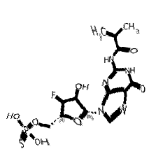 CC(C)C(=O)Nc1nc2c(ncn2[C@@H]2O[C@H](COP(O)(O)=S)C(F)C2O)c(=O)[nH]1